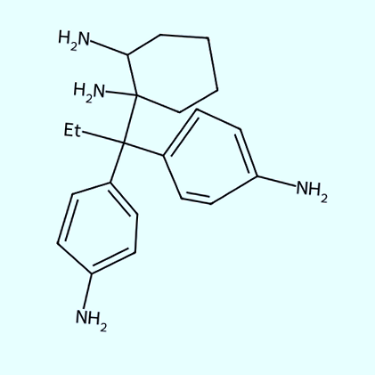 CCC(c1ccc(N)cc1)(c1ccc(N)cc1)C1(N)CCCCC1N